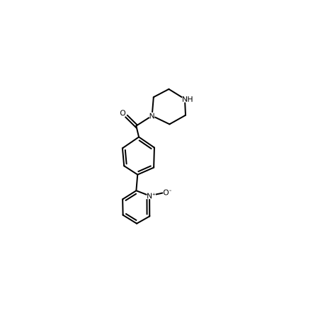 O=C(c1ccc(-c2cccc[n+]2[O-])cc1)N1CCNCC1